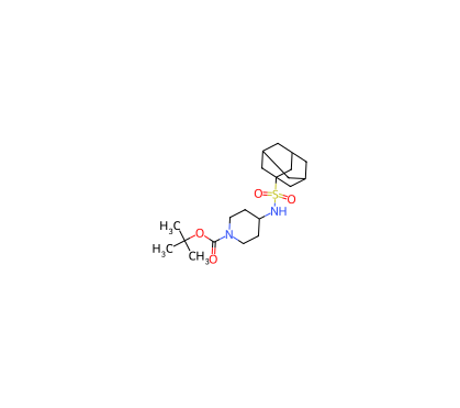 CC(C)(C)OC(=O)N1CCC(NS(=O)(=O)C23CC4CC(CC(C4)C2)C3)CC1